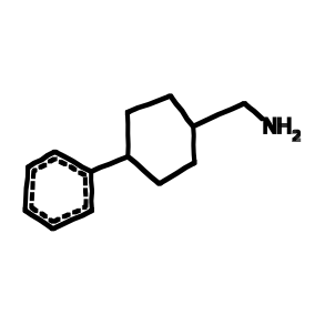 NCC1CCC(c2ccccc2)CC1